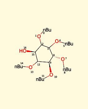 CCCCOC1C(OCCCC)[C@H](OCCCC)[C@@H](OCCCC)C(OCCCC)[C@H]1O